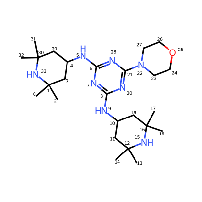 CC1(C)CC(Nc2nc(NC3CC(C)(C)NC(C)(C)C3)nc(N3CCOCC3)n2)CC(C)(C)N1